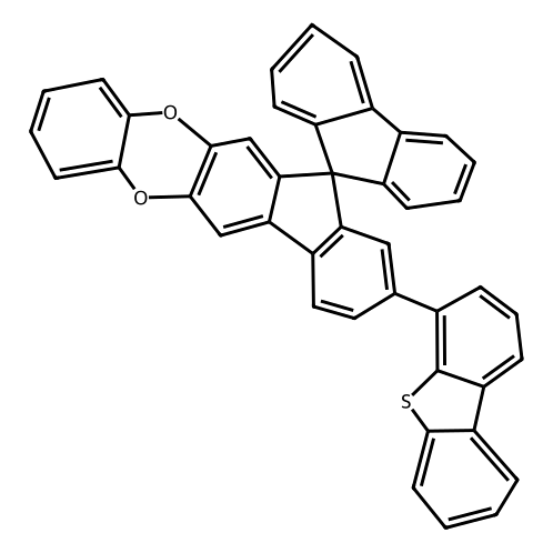 c1ccc2c(c1)Oc1cc3c(cc1O2)C1(c2ccccc2-c2ccccc21)c1cc(-c2cccc4c2sc2ccccc24)ccc1-3